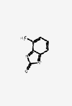 Cc1cccc2c1=NC(=O)[N+]=2